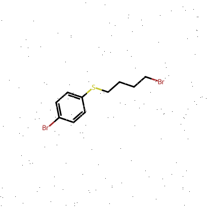 BrCCCCSc1ccc(Br)cc1